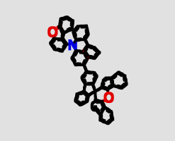 c1ccc(-c2ccccc2N(c2ccc(-c3ccc4c(c3)-c3ccccc3C43c4ccc5ccccc5c4Oc4c3ccc3ccccc43)cc2)c2cccc3oc4ccccc4c23)cc1